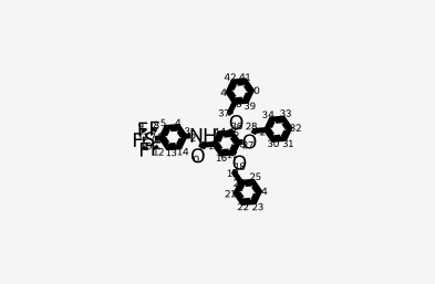 O=C(Nc1ccc(S(F)(F)(F)(F)F)cc1)c1cc(OCc2ccccc2)c(OCc2ccccc2)c(OCc2ccccc2)c1